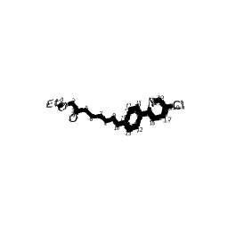 CCOCC(=O)CCCCCCc1ccc(C2=CCC(Cl)C=N2)cc1